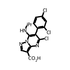 CC(C)Nc1c(-c2ccc(Cl)cc2Cl)c(Cl)nc2c(C(=O)O)cnn12